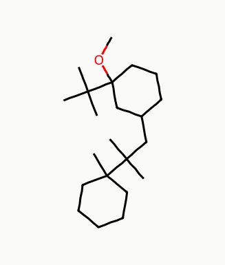 COC1(C(C)(C)C)CCCC(CC(C)(C)C2(C)CCCCC2)C1